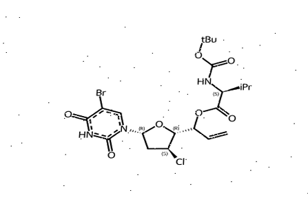 C=CC(OC(=O)[C@@H](NC(=O)OC(C)(C)C)C(C)C)[C@H]1O[C@@H](n2cc(Br)c(=O)[nH]c2=O)C[C@@H]1Cl